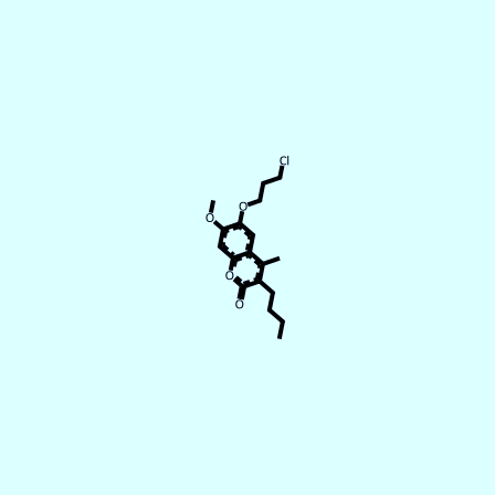 CCCCc1c(C)c2cc(OCCCCl)c(OC)cc2oc1=O